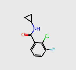 O=C(NC1CC1)c1cccc(F)c1Cl